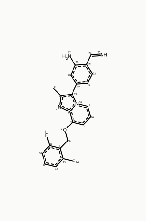 Cc1nc2c(OCc3c(F)cccc3F)cccn2c1-c1ccc(C=N)c(N)c1